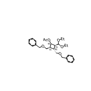 CCOC(OCC)[C@H]1[C@H](COCc2ccccc2)[C@@H](COCc2ccccc2)[C@H]1OC(C)=O